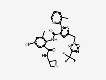 Cc1cccnc1-n1nc(Cn2nnc(C(F)(F)F)n2)cc1C(=O)Nc1c(C)cc(Cl)cc1C(=O)NC1COC1